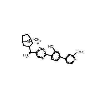 C=C(c1cnc(-c2ccc(-c3ccnc(OC)c3)cc2O)nn1)C1CC2CC[C@](C)(N2)[C@@H]1F